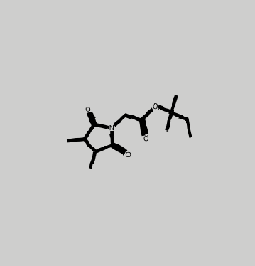 CCC(C)(C)OC(=O)CN1C(=O)C(C)C(C)C1=O